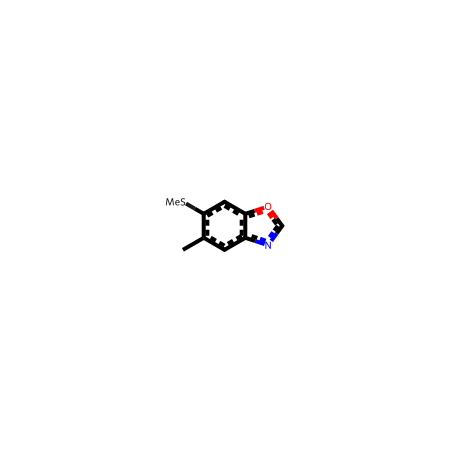 CSc1cc2ocnc2cc1C